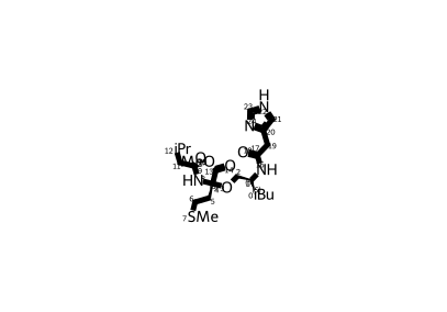 CC[C@H](C)[C@@H](CO[C@](CCSC)(NC(=O)CC(C)C)C(=O)OC)NC(=O)Cc1c[nH]cn1